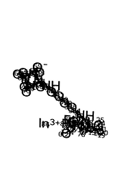 CCOc1ccc(C(=O)N2CCN(c3ccc(-c4ccccc4OCC)cc3CNCCNCCCOCCOCCOCCOCCNC(=O)CN3CCN(CC(=O)[O-])CCN(CC(=O)[O-])CCN(CC(=O)[O-])CC3)[C@H](CC)C2)c(C(F)(F)F)c1.[In+3]